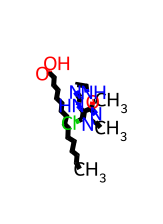 CCCCCCCCCCCCCCCC(=O)O.COc1nc(C)nc(Cl)c1NC1=NCCN1